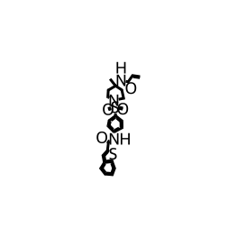 C=CC(=O)NC1(C)CCN(S(=O)(=O)c2ccc(NC(=O)c3cc4ccccc4s3)cc2)CC1